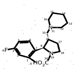 Cc1cc(F)ccc1[C@H]1[C@H](CN2CCCCC2)CCN1C(=O)O